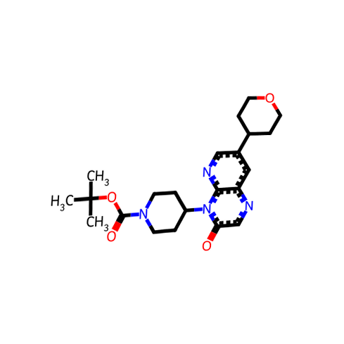 CC(C)(C)OC(=O)N1CCC(n2c(=O)cnc3cc(C4CCOCC4)cnc32)CC1